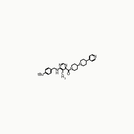 Cc1c(NCc2ccc(C(C)(C)C)cc2)ncnc1C(=O)N1CCC(N2CCC(c3ccncc3)CC2)CC1